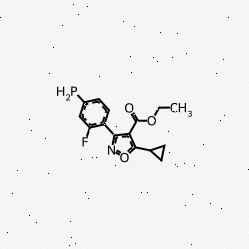 CCOC(=O)c1c(-c2ccc(P)cc2F)noc1C1CC1